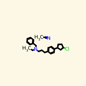 CC#N.CCN(CCCc1ccc(C2CCC(Cl)C2)cc1)Cc1ccccc1